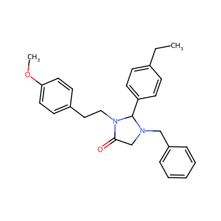 CCc1ccc(C2N(Cc3ccccc3)CC(=O)N2CCc2ccc(OC)cc2)cc1